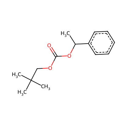 CC(OC(=O)OCC(C)(C)C)c1ccccc1